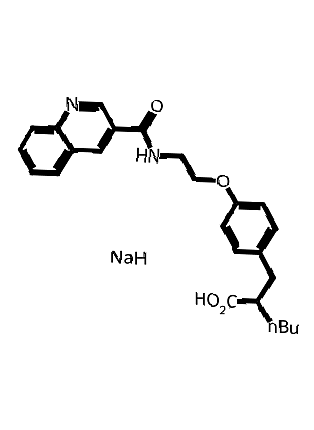 CCCCC(Cc1ccc(OCCNC(=O)c2cnc3ccccc3c2)cc1)C(=O)O.[NaH]